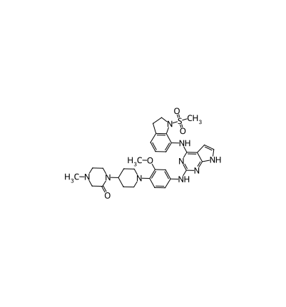 COc1cc(Nc2nc(Nc3cccc4c3N(S(C)(=O)=O)CC4)c3cc[nH]c3n2)ccc1N1CCC(N2CCN(C)CC2=O)CC1